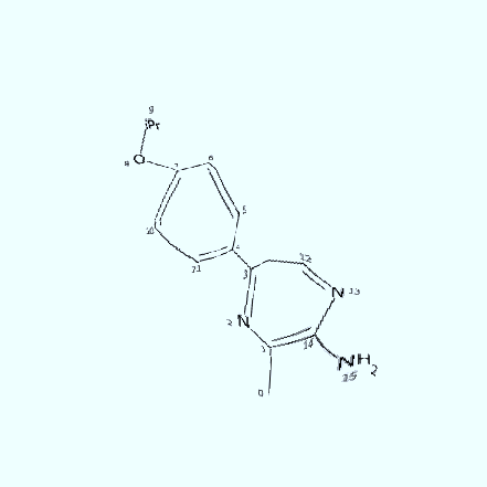 Cc1nc(-c2ccc(OC(C)C)cc2)cnc1N